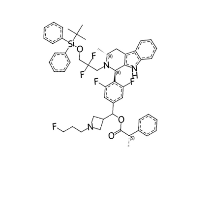 C[C@H](C(=O)OC(c1cc(F)c([C@@H]2c3[nH]c4ccccc4c3C[C@@H](C)N2CC(F)(F)CO[Si](c2ccccc2)(c2ccccc2)C(C)(C)C)c(F)c1)C1CN(CCCF)C1)c1ccccc1